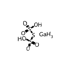 O=S(=O)(O)SS(=O)(=O)O.[GaH3]